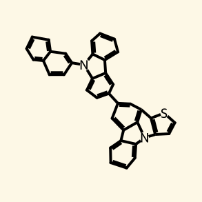 c1ccc2cc(-n3c4ccccc4c4cc(-c5cc6c7ccccc7n7c8ccsc8c(c5)c67)ccc43)ccc2c1